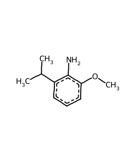 COc1cccc(C(C)C)c1N